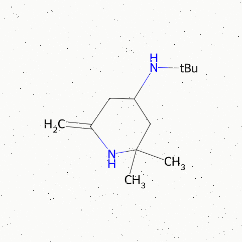 C=C1CC(NC(C)(C)C)CC(C)(C)N1